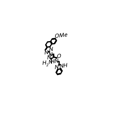 COc1ccc2c(c1)CCc1cnc(-n3cc(C(=O)NCc4nc5ccccc5[nH]4)c(N)n3)nc1-2